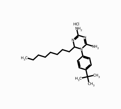 CCCCCCCCC1N=C(N)N=C(N)N1c1ccc(C(C)(C)C)cc1.Cl